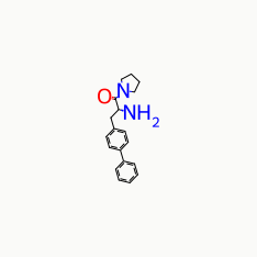 N[C@@H](Cc1ccc(-c2ccccc2)cc1)C(=O)N1CCCC1